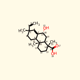 C=C[C@]1(C)C=C2C(CC1)[C@@]1(C)CCC[C@@](C)(C(=O)O)C1C[C@H]2O